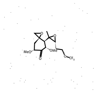 CO[C@@H]1C(=O)[C@H](OC)C[C@]2(CO2)[C@H]1C1(C)O[C@@H]1CCOC(F)(F)F